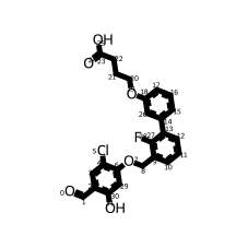 O=Cc1cc(Cl)c(OCc2cccc(-c3cccc(OCCCC(=O)O)c3)c2F)cc1O